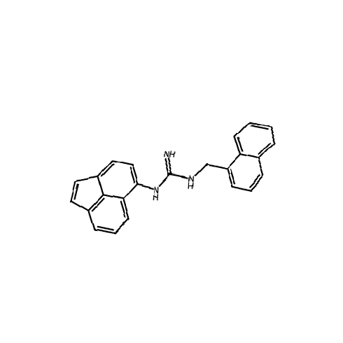 N=C(NCc1cccc2ccccc12)Nc1ccc2c3c(cccc13)C=C2